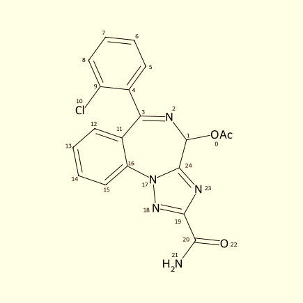 CC(=O)OC1N=C(c2ccccc2Cl)c2ccccc2-n2nc(C(N)=O)nc21